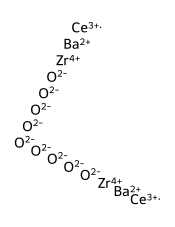 [Ba+2].[Ba+2].[Ce+3].[Ce+3].[O-2].[O-2].[O-2].[O-2].[O-2].[O-2].[O-2].[O-2].[O-2].[Zr+4].[Zr+4]